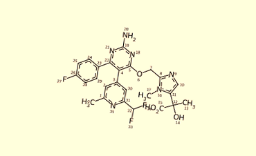 Cc1cc(-c2c(OCc3ncc(C(C)(O)C(=O)O)n3C)nc(N)nc2-c2ccc(F)cc2)cc(C(F)F)n1